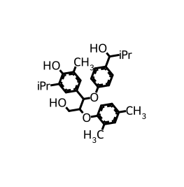 Cc1ccc(OC(CO)C(Oc2ccc(C(O)C(C)C)cc2)c2cc(C)c(O)c(C(C)C)c2)c(C)c1